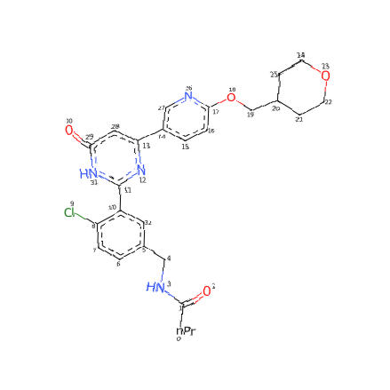 CCCC(=O)NCc1ccc(Cl)c(-c2nc(-c3ccc(OCC4CCOCC4)nc3)cc(=O)[nH]2)c1